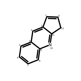 C1=Cc2cc3ccccc3nc2C1